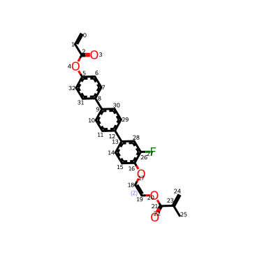 C=CC(=O)Oc1ccc(-c2ccc(-c3ccc(O/C=C\OC(=O)C(=C)C)c(F)c3)cc2)cc1